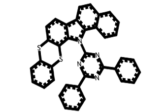 c1ccc(-c2nc(-c3ccccc3)nc(-n3c4c5c(ccc4c4ccc6ccccc6c43)Sc3ccccc3S5)n2)cc1